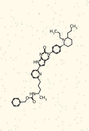 CCCC1CCC[C@@H](c2ccc(-n3cc4cc(-c5cccc(CCC[C@H](C)NC(=O)OCc6ccccc6)n5)[nH]c4nc3=O)cc2)N1CCC